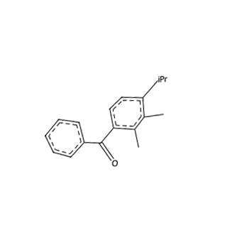 Cc1c(C(=O)c2ccccc2)ccc(C(C)C)c1C